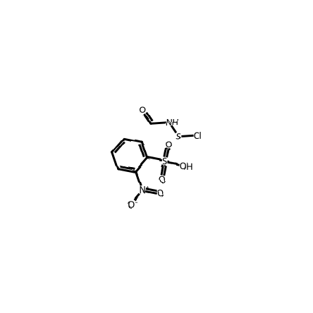 O=CNSCl.O=[N+]([O-])c1ccccc1S(=O)(=O)O